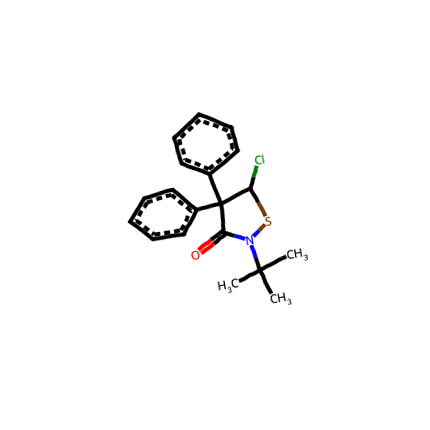 CC(C)(C)N1SC(Cl)C(c2ccccc2)(c2ccccc2)C1=O